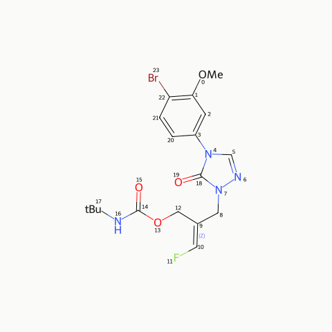 COc1cc(-n2cnn(C/C(=C/F)COC(=O)NC(C)(C)C)c2=O)ccc1Br